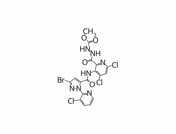 COC(=O)NNC(=O)c1nc(Cl)cc(Cl)c1NC(=O)c1cc(Br)nn1-c1ncccc1Cl